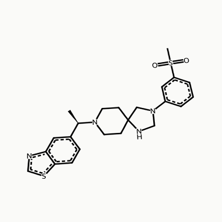 C[C@H](c1ccc2scnc2c1)N1CCC2(CC1)CN(c1cccc(S(C)(=O)=O)c1)CN2